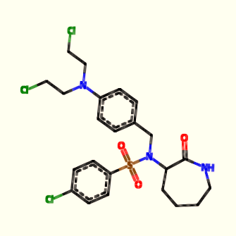 O=C1NCCCCC1N(Cc1ccc(N(CCCl)CCCl)cc1)S(=O)(=O)c1ccc(Cl)cc1